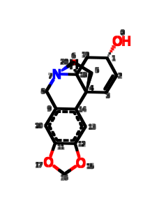 O[C@@H]1C=C[C@]23CC[N@](Cc4cc5c(cc42)OCO5)[C@H]3C1